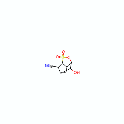 N#CC1C2CC3C(OS(=O)(=O)C13)C2O